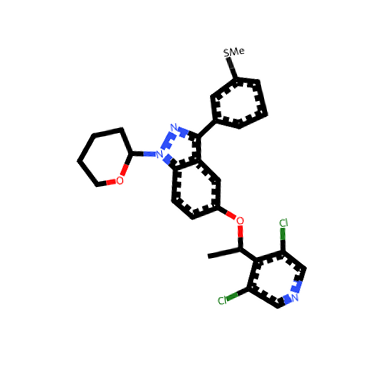 CSc1cccc(-c2nn(C3CCCCO3)c3ccc(OC(C)c4c(Cl)cncc4Cl)cc23)c1